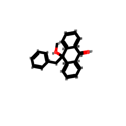 COC1(Cc2ccccc2)c2ccccc2C(=O)c2ccccc21